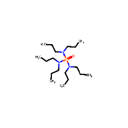 CCCN(CCC)P(=O)(N(CCC)CCC)N(CCC)CCC